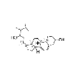 CC(C)C(C)C(O)C[C@@H](C)[C@H]1CC[C@H]2C3=CC=C4CC(O)CC[C@]4(C)[C@H]3CC[C@]12C